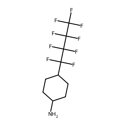 NC1CCC(C(F)(F)C(F)(F)C(F)(F)C(F)(F)F)CC1